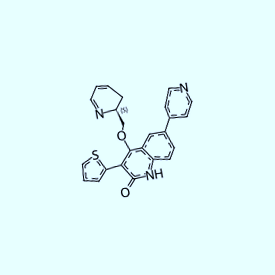 O=c1[nH]c2ccc(-c3ccncc3)cc2c(OC[C@@H]2CC=CC=N2)c1-c1cccs1